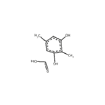 Cc1cc(O)c(C)c(O)c1.O=CO